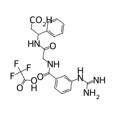 N=C(N)Nc1cccc(C(=O)NCC(=O)NC(CC(=O)O)c2ccccc2)c1.O=C(O)C(F)(F)F